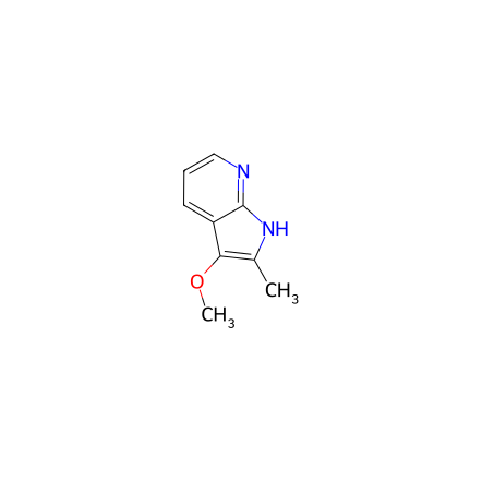 COc1c(C)[nH]c2ncccc12